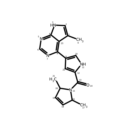 Cc1c[nH]c2ncnc(-c3c[nH]c(C(=O)N4C(C)C=CC4C)c3)c12